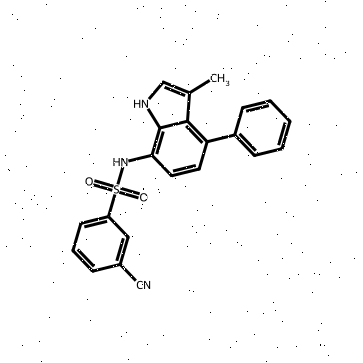 Cc1c[nH]c2c(NS(=O)(=O)c3cccc(C#N)c3)ccc(-c3ccccc3)c12